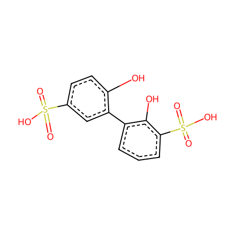 O=S(=O)(O)c1ccc(O)c(-c2cccc(S(=O)(=O)O)c2O)c1